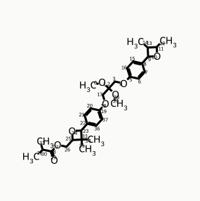 COC(COc1ccc(C2OC(C)C2C)cc1)(COc1ccc(C2OC(COC(=O)C(C)C)C2(C)C)cc1)OC